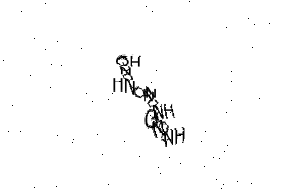 O=C(Nc1ccc(-n2ncc3cc(Nc4ccc(N5CCC(O)CC5)cc4)ccc32)cc1)c1ccc2[nH]ccc2n1